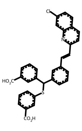 O=C(O)c1cccc(SC(c2cccc(C=Cc3ccc4ccc(Cl)cc4n3)c2)c2cccc(C(=O)O)c2)c1